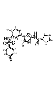 Cc1ccc(-c2sc(NC(=O)C3CCCC3)nc2C)cc1NS(=O)(=O)c1ccc(F)cc1